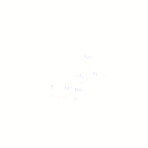 CC(C)C[C@H](NC(=O)[C@H](Cc1ccccc1)NC(=O)[C@](CCc1ccccc1)(CC(C)CCC(N)=O)NC(=O)CN1CCOCC1)C(=O)[C@@]1(C)CO1